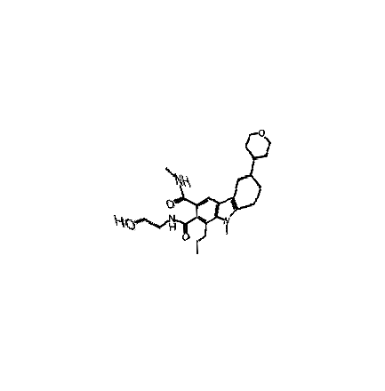 CCCc1c(C(=O)NCCO)c(C(=O)NC)cc2c3c(n(C)c12)CCC(C1CCOCC1)C3